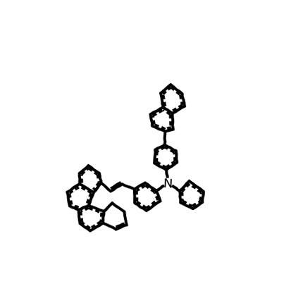 C1=Cc2ccc3ccc4cccc(C=Cc5cccc(N(c6ccccc6)c6ccc(-c7ccc8ccccc8c7)cc6)c5)c4c3c2CC1